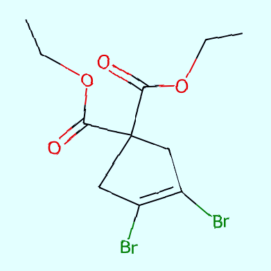 CCOC(=O)C1(C(=O)OCC)CC(Br)=C(Br)C1